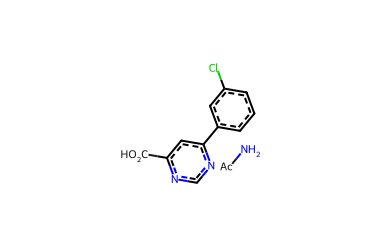 CC(N)=O.O=C(O)c1cc(-c2cccc(Cl)c2)ncn1